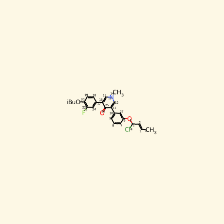 CC=CC(Cl)Oc1cccc(-c2cn(C)cc(-c3ccc(OCC(C)C)c(F)c3)c2=O)c1